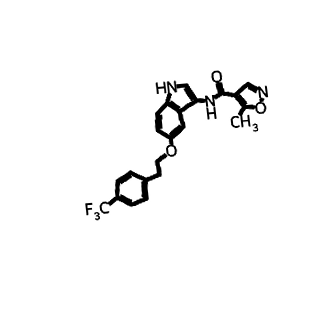 Cc1oncc1C(=O)Nc1c[nH]c2ccc(OCCc3ccc(C(F)(F)F)cc3)cc12